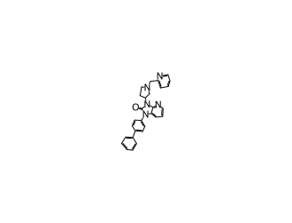 O=c1n(-c2ccc(-c3ccccc3)cc2)c2cccnc2n1[C@H]1CCN(Cc2ccccn2)C1